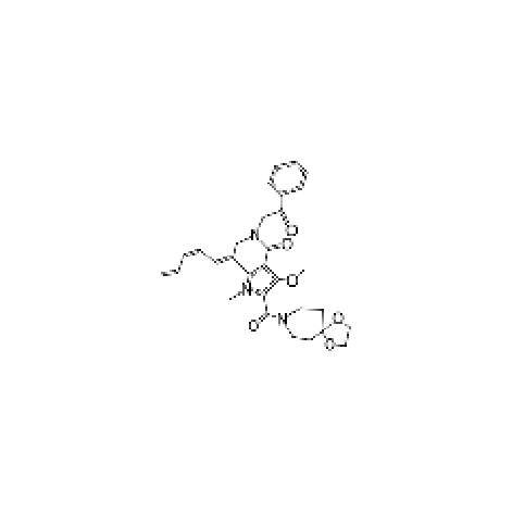 C=C/C=C\C=C1/CN(CC(=O)c2ccccc2)C(=O)c2c(OC)c(C(=O)N3CCC4(CC3)OCCO4)n(C)c21